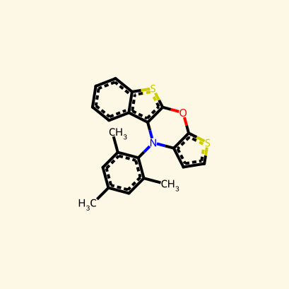 Cc1cc(C)c(N2c3ccsc3Oc3sc4ccccc4c32)c(C)c1